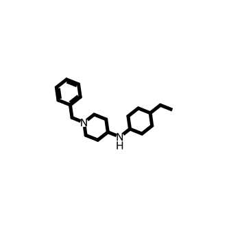 CCC1CCC(NC2CCN(Cc3ccccc3)CC2)CC1